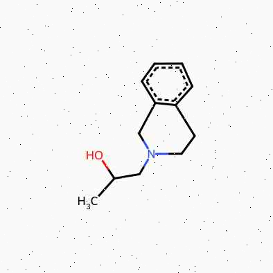 CC(O)CN1CCc2ccccc2C1